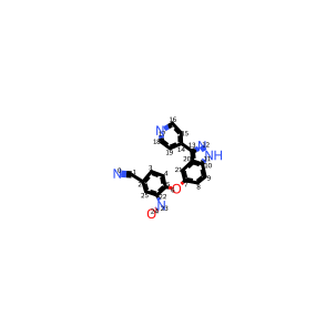 N#Cc1ccc(Oc2ccc3[nH]nc(-c4ccncc4)c3c2)c(N=O)c1